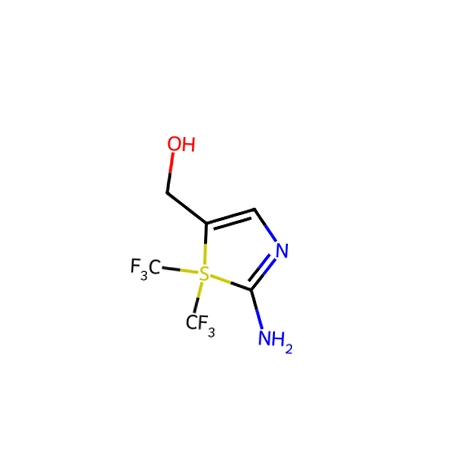 NC1=NC=C(CO)S1(C(F)(F)F)C(F)(F)F